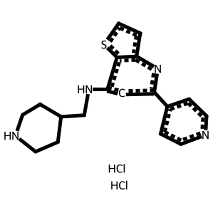 Cl.Cl.c1cc(-c2cc(NCC3CCNCC3)c3sccc3n2)ccn1